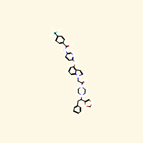 O=C(Nc1ccc(Oc2cccc3c2ccn3CC(=O)N2CCN(C(Cc3ccccc3)C3=COCO3)CC2)nc1)c1ccc(C(F)(F)F)cc1